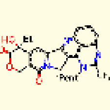 CCCCCN1C(C(F)(F)F)=Nc2cccc3nc4c(c1c23)Cn1c-4cc2c(c1=O)COC(=O)[C@]2(O)CC